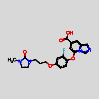 CN1CCN(CCCOc2ccc(Oc3cc(C(=O)O)cc4cncn34)c(F)c2)C1=O